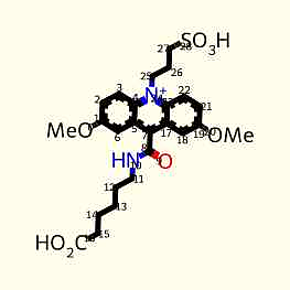 COc1ccc2c(c1)c(C(=O)NCCCCCC(=O)O)c1cc(OC)ccc1[n+]2CCCS(=O)(=O)O